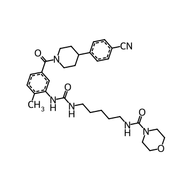 Cc1ccc(C(=O)N2CCC(c3ccc(C#N)cc3)CC2)cc1NC(=O)NCCCCCNC(=O)N1CCOCC1